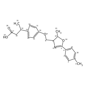 Cc1ccc(C2=NC(COc3ccc(C(C)CC(=O)O)cc3)C(C)O2)cc1